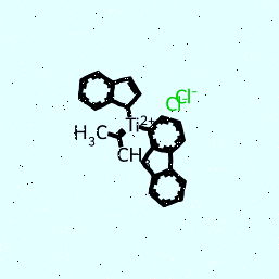 C[C](C)=[Ti+2]([c]1cccc2c1Cc1ccccc1-2)[CH]1C=Cc2ccccc21.[Cl-].[Cl-]